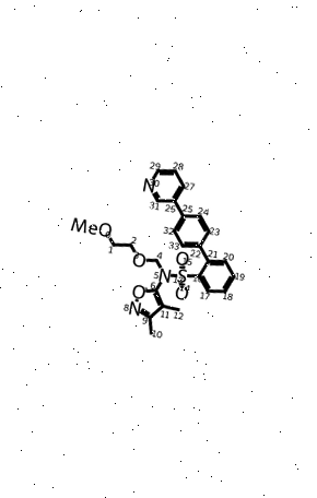 COCCOCN(c1onc(C)c1C)S(=O)(=O)c1ccccc1-c1ccc(-c2cccnc2)cc1